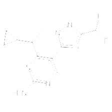 CC(c1nc(N)ncc1-c1nnc(C(F)F)o1)C1CC1